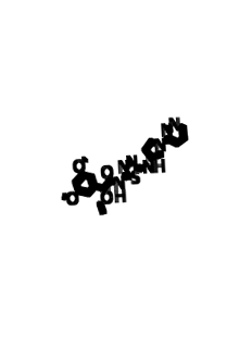 CCO[C@@H](C(=O)Nc1nnc(N[C@@H]2CCN(c3cccnn3)C2)s1)c1cc(OC)cc(OC)c1